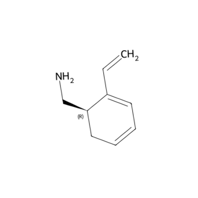 C=CC1=CC=CC[C@H]1CN